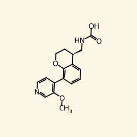 COc1cnccc1-c1cccc2c1OCC[C@H]2CNC(=O)O